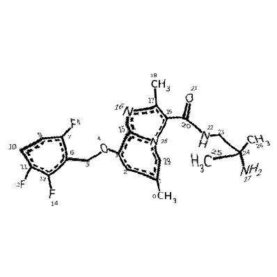 Cc1cc(OCc2c(F)ccc(F)c2F)c2nc(C)c(C(=O)NCC(C)(C)N)n2c1